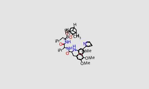 COc1cc(CC(Nc2cccc(-c3ccccn3)c2)C(=O)NC(C(=O)N[C@@H](CC(C)C)B2O[C@@H]3C[C@@H]4C[C@@H](C4(C)C)[C@]3(C)O2)C(C)C)cc(OC)c1OC